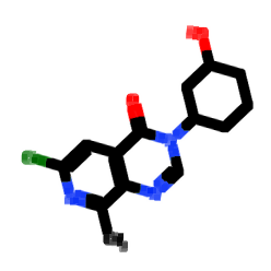 Cc1nc(Cl)cc2c(=O)n(C3CCCC(O)C3)cnc12